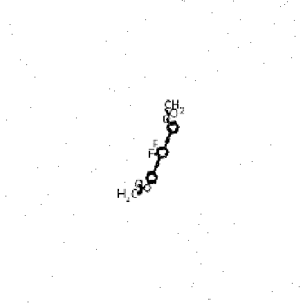 C=CC(=O)Oc1ccc(C#Cc2ccc(C#Cc3cccc(OC(=O)C=C)c3)c(F)c2F)cc1